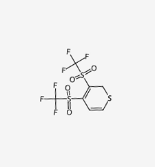 O=S(=O)(C1=C(S(=O)(=O)C(F)(F)F)CSC=C1)C(F)(F)F